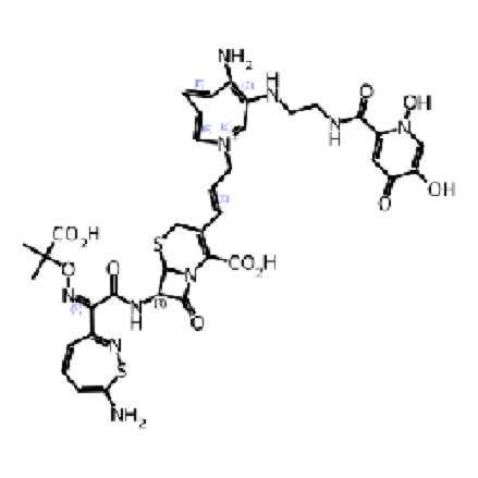 CC(C)(O/N=C(\C(=O)N[C@@H]1C(=O)N2C(C(=O)O)=C(/C=C/C[N+]3=C/C(NCCNC(=O)c4cc(=O)c(O)cn4O)=C(N)\C=C\C=C\3)CSC12)C1=NSC(N)=CC=C1)C(=O)O